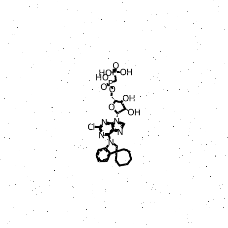 O=P(O)(O)CP(=O)(O)OC[C@H]1O[C@@H](n2cnc3c(N4CC5(CCCCCC5)c5ccccc54)nc(Cl)nc32)[C@@H](O)C1O